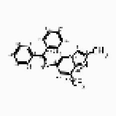 Cc1cn2cc(N=C(c3ccccc3)c3ccccc3)cc(C(F)(F)F)c2n1